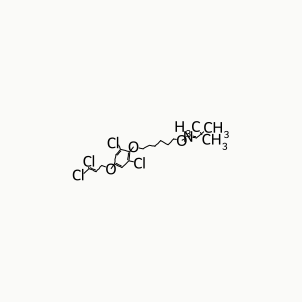 CC(C)(C)C=NOCCCCCCOc1c(Cl)cc(OCC=C(Cl)Cl)cc1Cl